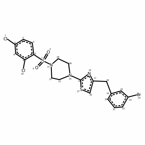 O=S(=O)(c1ccc(Cl)cc1Cl)N1CCN(c2nc(Cc3cccc(Br)c3)cs2)CC1